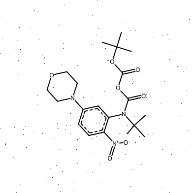 CC(C)(C)OC(=O)OC(=O)N(c1cc(N2CCOCC2)ccc1[N+](=O)[O-])C(C)(C)C